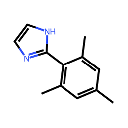 Cc1cc(C)c(-c2ncc[nH]2)c(C)c1